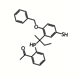 CCC(C)(Pc1ccccc1C(C)=O)c1cc(S)ccc1OCc1ccccc1